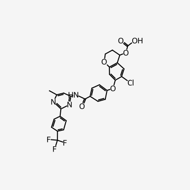 Cc1cc(NC(=O)c2ccc(Oc3cc4c(cc3Cl)C(OC(=O)O)CCO4)cc2)nc(-c2ccc(C(F)(F)F)cc2)n1